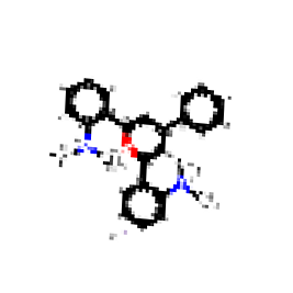 CN(C)c1ccccc1-c1cc(-c2ccccc2)cc(-c2ccccc2N(C)C)[o+]1.[I-]